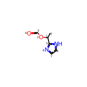 CC(OC=O)c1ncc[nH]1